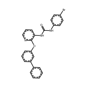 O=C(Nc1ccc(Br)cc1)Nc1cccnc1Oc1cccc(-c2ccccc2)c1